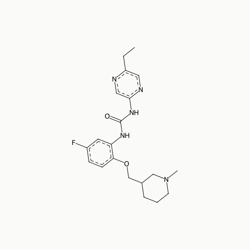 CCc1cnc(NC(=O)Nc2cc(F)ccc2OCC2CCCN(C)C2)cn1